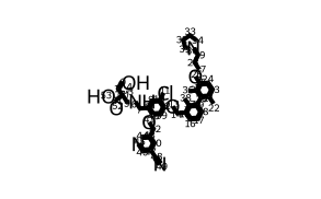 C=C[C@@](CO)(CNCc1cc(Cl)c(OCc2cccc(-c3c(C)ccc(OCCCN4CCCC4)c3C)c2C)cc1OCc1cncc(C#N)c1)C(=O)O